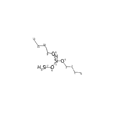 CCCCO[SiH](O[SiH3])OCCCC